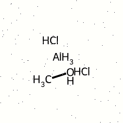 CO.Cl.Cl.[AlH3]